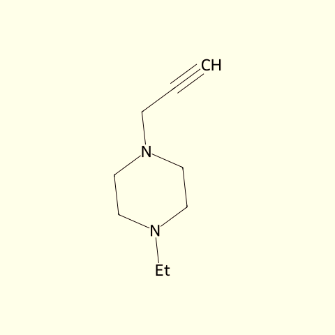 C#CCN1CCN(CC)CC1